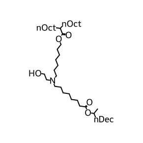 CCCCCCCCCCC(C)OC(=O)CCCCCCCN(CCO)CCCCCCCOC(=O)C(CCCCCCCC)CCCCCCCC